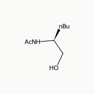 CCCC[C@@H](CO)NC(C)=O